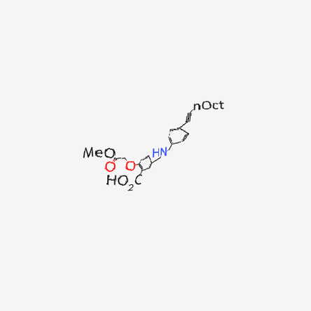 CCCCCCCCC#Cc1ccc(CNCc2ccc(OCC(=O)OC)c(C(=O)O)c2)cc1